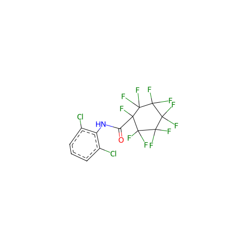 O=C(Nc1c(Cl)cccc1Cl)C1(F)C(F)(F)C(F)(F)C(F)(F)C(F)(F)C1(F)F